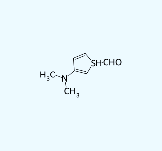 CN(C)C1=C[SH](C=O)C=C1